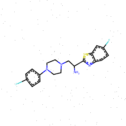 NC(CN1CCN(c2ccc(F)cc2)CC1)c1nc2ccc(F)cc2s1